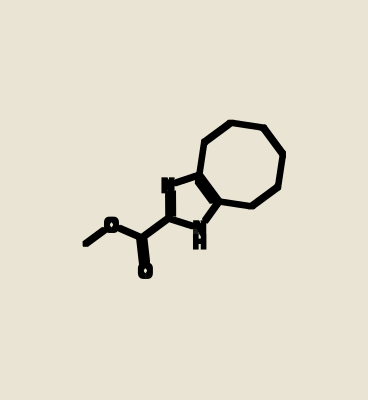 COC(=O)c1nc2c([nH]1)CCCCCC2